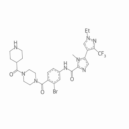 CCn1cc(-c2cnc(C(=O)Nc3ccc(C(=O)N4CCN(C(=O)C5CCNCC5)CC4)c(Br)c3)n2C)c(C(F)(F)F)n1